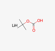 CC(C)(C)OC(=O)O.[LiH]